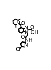 CC1CCCC(C)N1C(=O)c1cccc2c1nc(C(=O)O)n2CC(=O)Nc1ccc(Cl)cn1